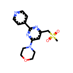 CS(=O)(=O)Cc1cc(N2CCOCC2)nc(-c2ccncc2)n1